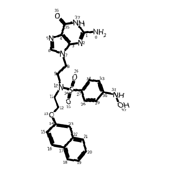 Nc1nc2c(ncn2CCN(CCOc2ccc3ccccc3c2)S(=O)(=O)c2ccc(NO)cc2)c(=O)[nH]1